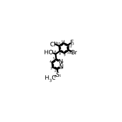 CSc1ccc(C(O)c2cc(Br)c(F)cc2Cl)nn1